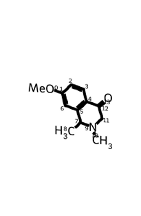 COc1ccc2c(c1)C(C)N(C)CC2=O